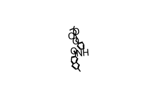 Cc1ccc2ccc(C(=O)Nc3cccc(OCC(=O)OC(C)C)c3)cc2c1